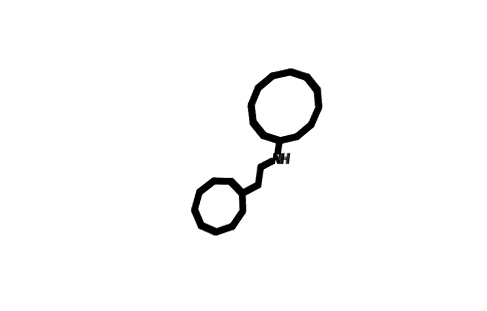 C1CCCCCC(NCCC2CCCCCCCC2)CCCCC1